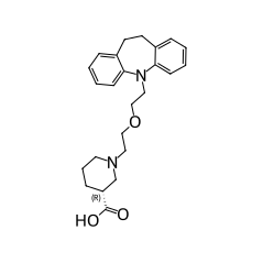 O=C(O)[C@@H]1CCCN(CCOCCN2c3ccccc3CCc3ccccc32)C1